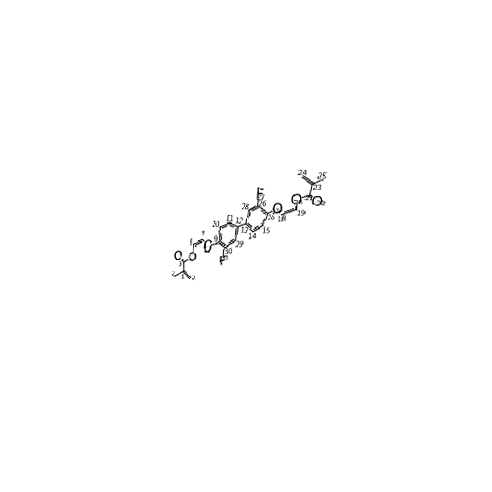 C=C(C)C(=O)O/C=C\Oc1ccc(-c2ccc(O/C=C\OC(=O)C(=C)C)c(F)c2)cc1F